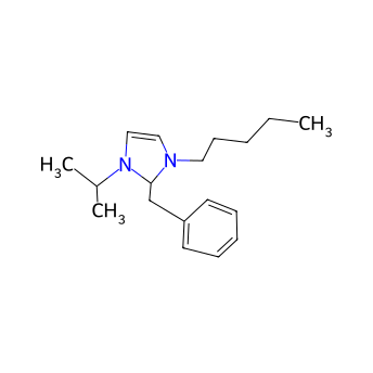 CCCCCN1C=CN(C(C)C)C1Cc1ccccc1